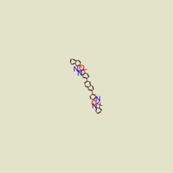 CN1c2ccccc2C(C)(C)C12C=Nc1cc(-c3ccc4cc(-c5ccc6c(c5)N(C)C5(C=Nc7c(ccc8ccccc78)O5)C6(C)C)ccc4c3)ccc1O2